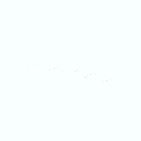 CCCCCC(Cl)C=CCCl